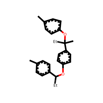 CCC(Oc1ccc(C(C)(CC)Oc2ccc(C)cc2)cc1)c1ccc(C)cc1